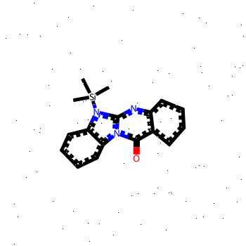 C[Si](C)(C)n1c2ccccc2n2c(=O)c3ccccc3nc12